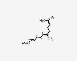 CCCC(C)=CCCC(C)=CCCC=NOC